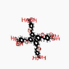 O=C(Cc1ccc(B(O)O)cc1)c1ccc([Si](c2ccc(C(=O)Cc3ccc(B(O)O)cc3)cc2)(c2ccc(C(=O)Cc3ccc(B(O)O)cc3)cc2)c2ccc(C(=O)Cc3ccc(B(O)O)cc3)cc2)cc1